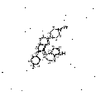 CC(C)N1CCN(c2ccc3nc(-c4ccc(F)cc4)c(-c4ccnc5[nH]ccc45)n3n2)CC1